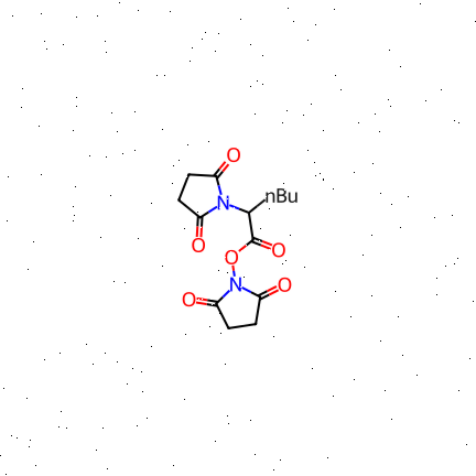 CCCCC(C(=O)ON1C(=O)CCC1=O)N1C(=O)CCC1=O